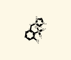 O=S(=O)(Cl)c1c(Cl)cccc1Cn1cncn1